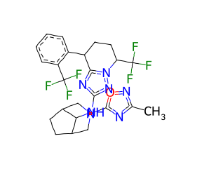 Cc1noc(N2CC3CCC(C2)C3Nc2nc3n(n2)C(C(F)(F)F)CCC3c2ccccc2C(F)(F)F)n1